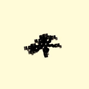 CCCC[C](CCCC)=[Zr+2]([c]1c(CC(C)C(C)[Si](C)(C)C)ccc2c1Cc1cc(C)c([Si](C)(C)C)cc1-2)[CH]1C=CC=C1.[Cl-].[Cl-]